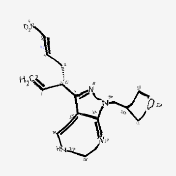 C=C[C@H](C/C=C/[N+](=O)[O-])c1nn(C2COC2)c2c1=CNCN=2